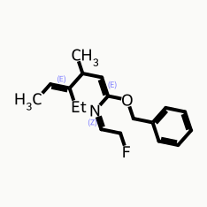 C/C=C(\CC)C(C)/C=C(\N=C/CF)OCc1ccccc1